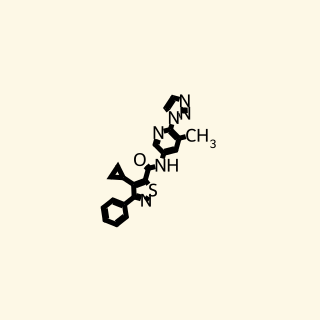 Cc1cc(NC(=O)c2snc(-c3ccccc3)c2C2CC2)cnc1-n1ccnn1